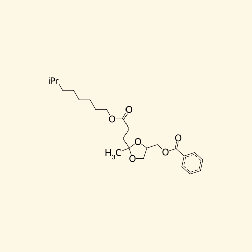 CC(C)CCCCCCOC(=O)CCC1(C)OCC(COC(=O)c2ccccc2)O1